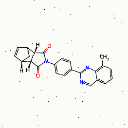 Cc1cccc2cnc(-c3ccc(N4C(=O)[C@@H]5[C@@H]6C=CC(C6)[C@@H]5C4=O)cc3)nc12